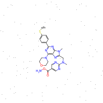 CCCSc1ccc(-c2nc(N3CCOCC3)c3nc(CN(C)c4ncc(C(=O)ON)cn4)n(C)c3n2)cc1